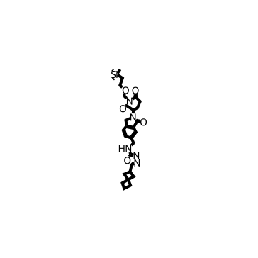 C[Si](C)(C)CCOCN1C(=O)CCC(N2Cc3ccc(CNc4nnc(C5CC6(CCC6)C5)o4)cc3C2=O)C1=O